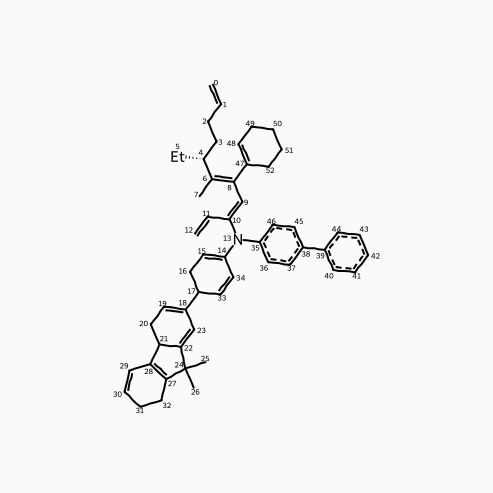 C=CCC[C@@H](CC)/C(C)=C(/C=C(\C=C)N(C1=CCC(C2=CCC3C(=C2)C(C)(C)C2=C3C=CCC2)C=C1)c1ccc(-c2ccccc2)cc1)C1=CCCCC1